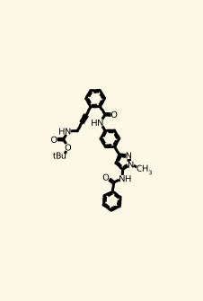 Cn1nc(-c2ccc(NC(=O)c3ccccc3C#CCNC(=O)OC(C)(C)C)cc2)cc1NC(=O)c1ccccc1